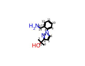 CC(C)(O)c1ccn(-c2ccccc2CN)n1